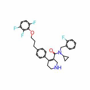 O=C(C1=C(c2ccc(CCCOc3c(F)ccc(F)c3F)cc2)CCNC1)N(Cc1ccccc1F)C1CC1